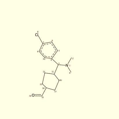 CN(C)C(c1ccc(Cl)cc1)C1CCC(C=O)CC1